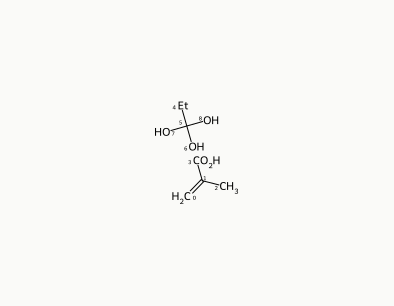 C=C(C)C(=O)O.CCC(O)(O)O